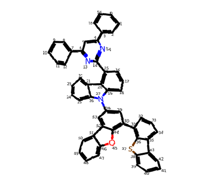 c1ccc(-c2cc(-c3ccccc3)nc(-c3cccc4c3c3ccccc3n4-c3cc(-c4cccc5c4sc4ccccc45)c4oc5ccccc5c4c3)n2)cc1